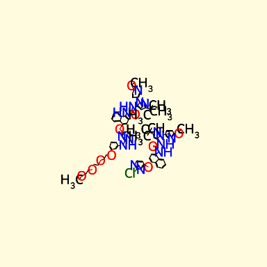 COCCOCCOCCOc1cccc(Nc2nccc(Oc3ccc(NC(=O)Nc4cc(C(C)(C)C)nn4-c4ccc(OC)nc4)c4ccccc34)n2)c1.COc1ccc(-n2nc(C(C)(C)C)cc2NC(=O)Nc2ccc(Oc3ccnc(Cl)n3)c3ccccc23)cn1